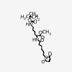 COC(=O)C(CCCCNC(=O)OC(C)(C)C)NC(=O)CCCCCN1C(=O)C=CC1=O